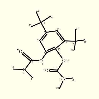 CN(C)C(=O)Oc1cc(C(C)(C)C)cc(C(C)(C)C)c1OC(=O)N(C)C